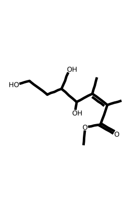 COC(=O)C(C)=C(C)C(O)C(O)CCO